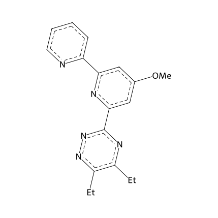 CCc1nnc(-c2cc(OC)cc(-c3ccccn3)n2)nc1CC